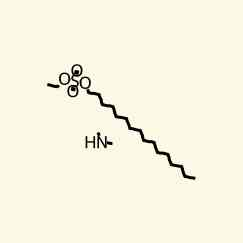 CCCCCCCCCCCCCCCCOS(=O)(=O)OCC.CNC